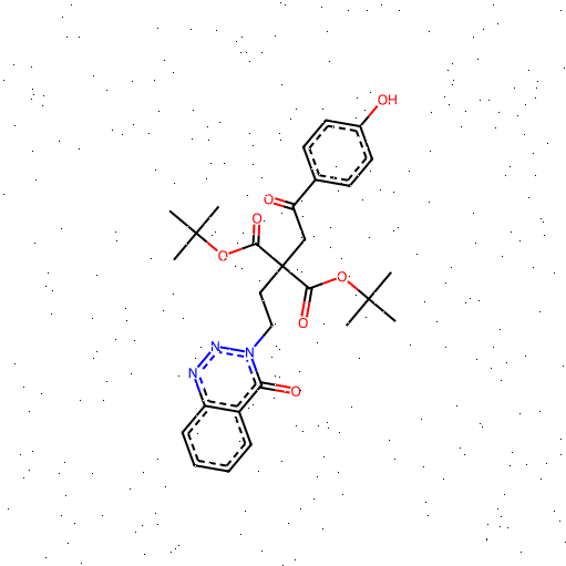 CC(C)(C)OC(=O)C(CCn1nnc2ccccc2c1=O)(CC(=O)c1ccc(O)cc1)C(=O)OC(C)(C)C